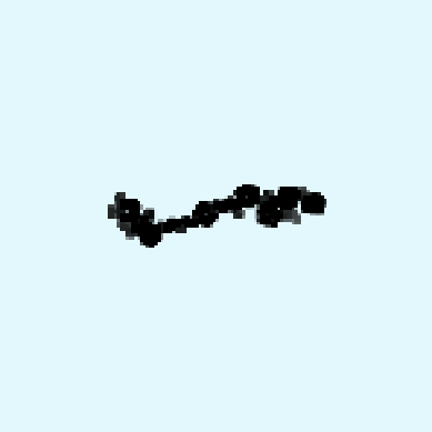 Nc1ncnc2c1c(-c1ccc(Oc3ccccc3)cc1)nn2[C@@H]1CCCN(C(=O)CCCN2CCN(CCOCCSc3cccc4c3C(=O)N(C3CCC(=O)NC3=O)C4=O)CC2)C1